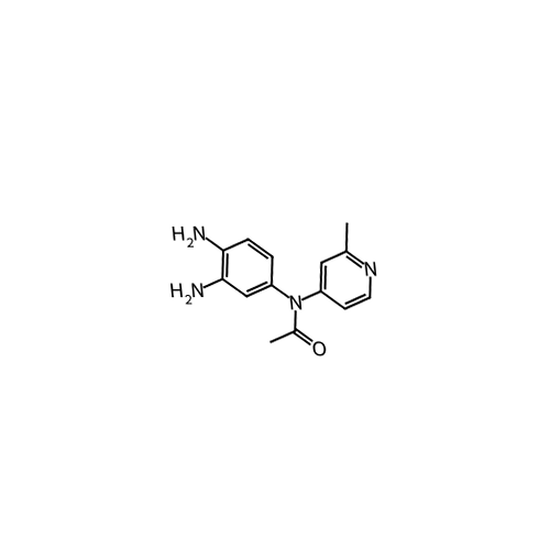 CC(=O)N(c1ccnc(C)c1)c1ccc(N)c(N)c1